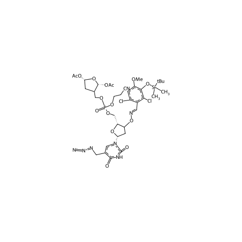 COc1cc(Cl)c(/C=N/OC2C[C@H](n3cc(CN=[N+]=[N-])c(=O)[nH]c3=O)O[C@@H]2COP(=O)(OCCC#N)OCC2C[C@H](OC(C)=O)O[C@@H]2OC(C)=O)c(Cl)c1O[Si](C)(C)C(C)(C)C